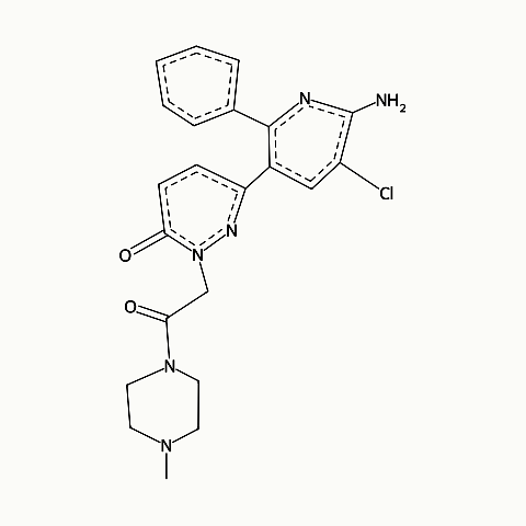 CN1CCN(C(=O)Cn2nc(-c3cc(Cl)c(N)nc3-c3ccccc3)ccc2=O)CC1